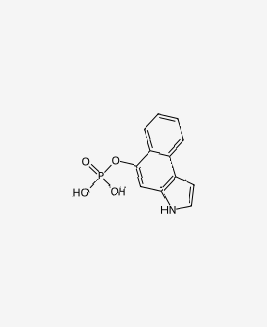 O=P(O)(O)Oc1cc2[nH]ccc2c2ccccc12